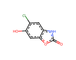 O=c1[nH]c2cc(Cl)c(O)cc2o1